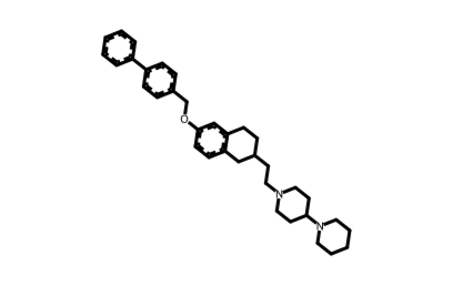 c1ccc(-c2ccc(COc3ccc4c(c3)CCC(CCN3CCC(N5CCCCC5)CC3)C4)cc2)cc1